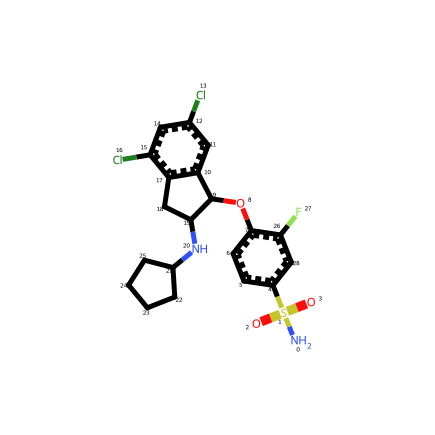 NS(=O)(=O)c1ccc(OC2c3cc(Cl)cc(Cl)c3CC2NC2CCCC2)c(F)c1